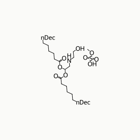 CCCCCCCCCCCCCCCC(=O)OC(CNCCO)OC(=O)CCCCCCCCCCCCCCC.COS(=O)(=O)O